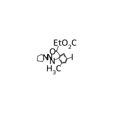 CCOC(=O)CC(=O)c1cc(I)cc(C)c1N=NN1CCCC1